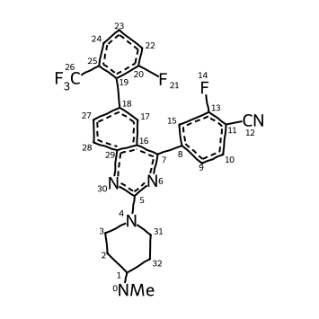 CNC1CCN(c2nc(-c3ccc(C#N)c(F)c3)c3cc(-c4c(F)cccc4C(F)(F)F)ccc3n2)CC1